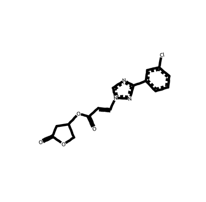 O=C(C=Cn1cnc(-c2cccc(Cl)c2)n1)OC1COC(=O)C1